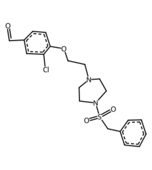 O=Cc1ccc(OCCN2CCN(S(=O)(=O)Cc3ccccc3)CC2)c(Cl)c1